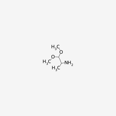 COC(OC)C(C)N